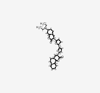 CCN(CC)c1ccc2cc(-c3ccc(-c4ccc(-c5cc6ccc7ccccc7c6oc5=O)o4)o3)c(=O)oc2c1